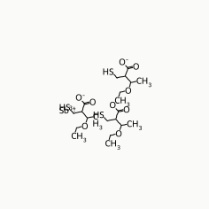 CCOC(C)C(CS)C(=O)[O-].CCOC(C)C(CS)C(=O)[O-].CCOC(C)C(CS)C(=O)[O-].[Sb+3]